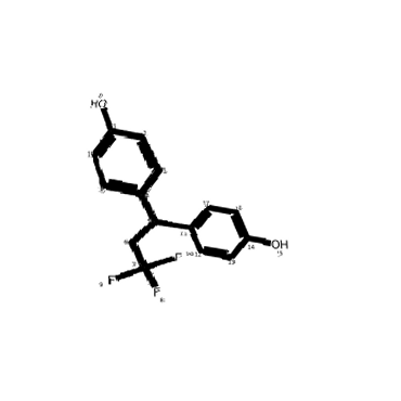 Oc1ccc(C([C]C(F)(F)F)c2ccc(O)cc2)cc1